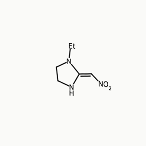 CCN1CCNC1=C[N+](=O)[O-]